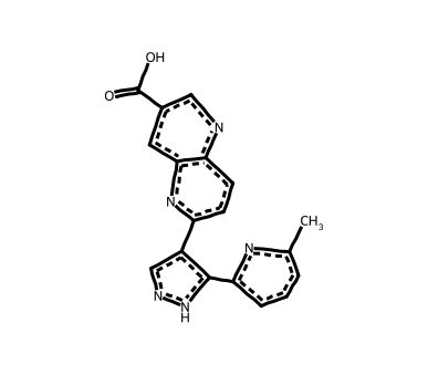 Cc1cccc(-c2[nH]ncc2-c2ccc3ncc(C(=O)O)cc3n2)n1